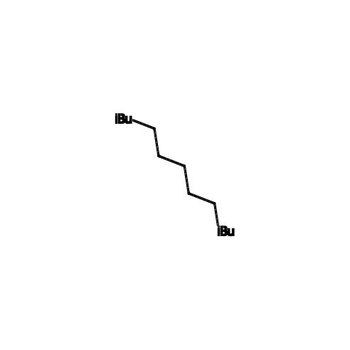 CCC(C)CCCCCC(C)CC